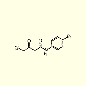 O=C(CCl)CC(=O)Nc1ccc(Br)cc1